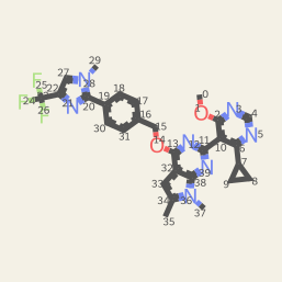 COc1ncnc(C2CC2)c1-c1nc(OCc2ccc(-c3nc(C(F)(F)F)cn3C)cc2)c2cc(C)n(C)c2n1